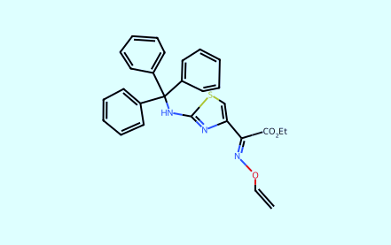 C=CON=C(C(=O)OCC)c1csc(NC(c2ccccc2)(c2ccccc2)c2ccccc2)n1